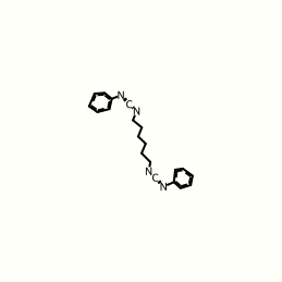 C(=NCCCCCCN=C=Nc1ccccc1)=Nc1ccccc1